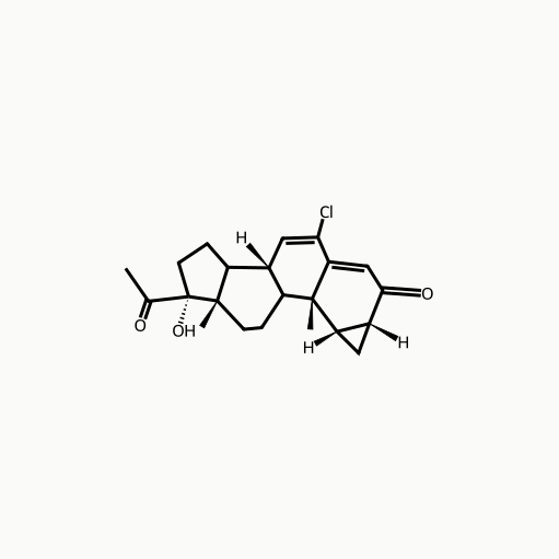 CC(=O)[C@@]1(O)CCC2[C@@H]3C=C(Cl)C4=CC(=O)[C@@H]5C[C@@H]5[C@]4(C)C3CC[C@@]21C